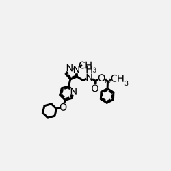 C[C@H](OC(=O)NCc1c(-c2ccc(OC3CCCCC3)cn2)cnn1C)c1ccccc1